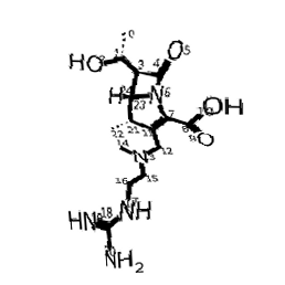 C[C@@H](O)[C@H]1C(=O)N2C(C(=O)O)=C(CN(C)CCNC(=N)N)[C@H](C)[C@H]12